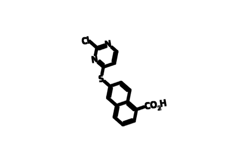 O=C(O)c1cccc2cc(Sc3ccnc(Cl)n3)ccc12